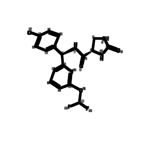 O=C1NC[C@@H](C(=O)N[C@H](c2ccc(Cl)cc2)c2cccc(OC(F)F)n2)N1